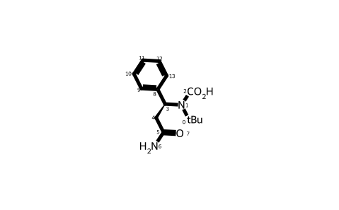 CC(C)(C)N(C(=O)O)[C@@H](CC(N)=O)c1ccccc1